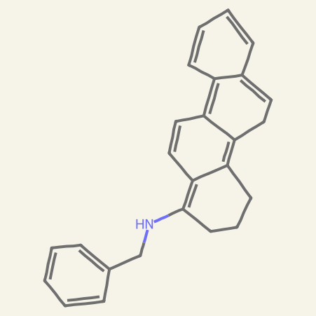 C1=c2ccccc2=c2ccc3c(c2C1)CCCC=3NCc1ccccc1